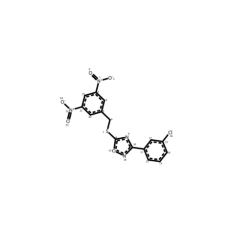 O=[N+]([O-])c1cc(CSc2nc(-c3cccc(Cl)c3)no2)cc([N+](=O)[O-])c1